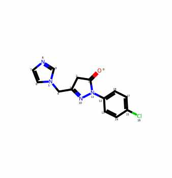 O=C1CC(Cn2ccnc2)=NN1c1ccc(Cl)cc1